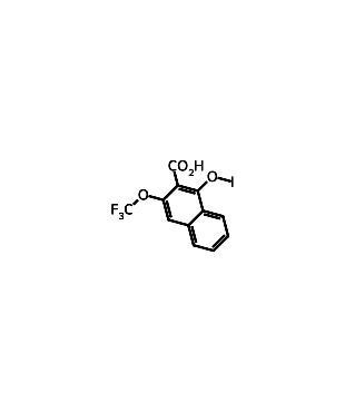 O=C(O)c1c(OC(F)(F)F)cc2ccccc2c1OI